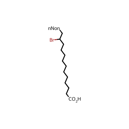 CCCCCCCCCCC(Br)CCCCCCCCCCC(=O)O